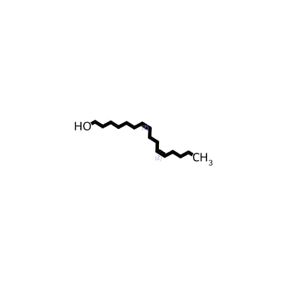 CCCC/C=C\CC/C=C\CCCCCCO